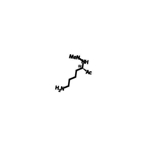 CNN[C@@H](CCCCN)C(C)=O